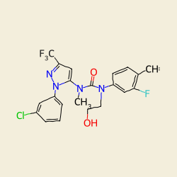 [CH]c1ccc(N(CCO)C(=O)N(C)c2cc(C(F)(F)F)nn2-c2cccc(Cl)c2)cc1F